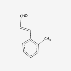 Cc1ccccc1C=CC=O